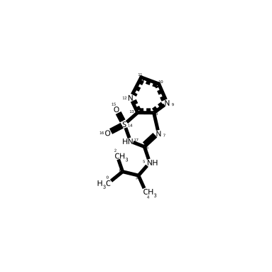 CC(C)C(C)NC1=Nc2nccnc2S(=O)(=O)N1